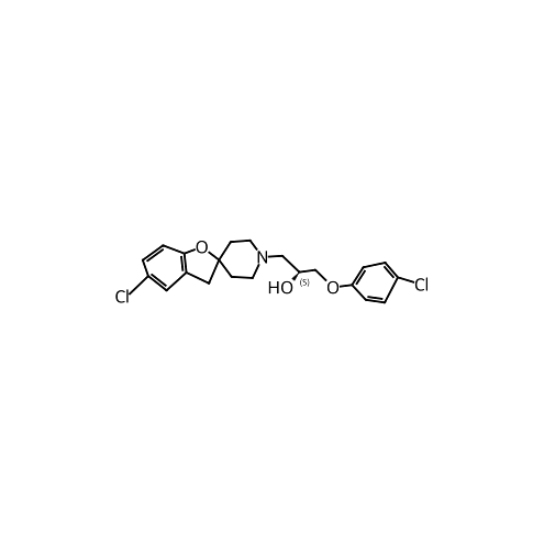 O[C@H](COc1ccc(Cl)cc1)CN1CCC2(CC1)Cc1cc(Cl)ccc1O2